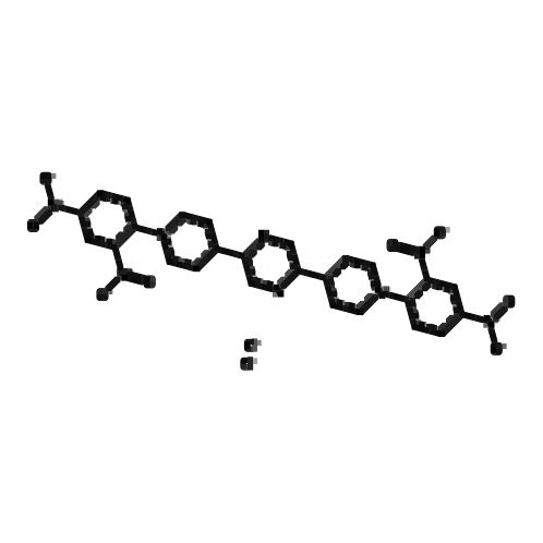 O=[N+]([O-])c1ccc(-[n+]2ccc(-c3cnc(-c4cc[n+](-c5ccc([N+](=O)[O-])cc5[N+](=O)[O-])cc4)cn3)cc2)c([N+](=O)[O-])c1.[Cl-].[Cl-]